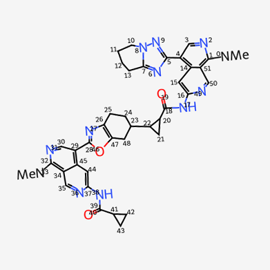 CNc1ncc(-c2nc3n(n2)CCCC3)c2cc(NC(=O)C3CC3C3CCc4nc(-c5cnc(NC)c6cnc(NC(=O)C7CC7)cc56)oc4C3)ncc12